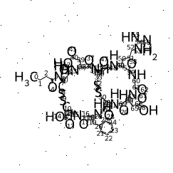 CCCC(=O)N[C@H]1CSSC[C@@H](C(=O)O)NC(=O)[C@H](Cc2ccccc2)NC(=O)[C@@H]2CSSC[C@H](NC(=O)[C@H](CC(=O)O)NC1=O)C(=O)N[C@@H](CCCNC(=N)N)C(=O)NCC(=O)N[C@@H](CC(=O)O)C(=O)N2